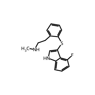 CNCCc1ccccc1Sc1c[nH]c2cccc(F)c12